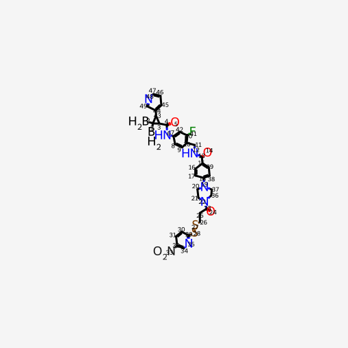 BC1(B)C(C(=O)Nc2ccc(CNC(=O)c3ccc(N4CCN(C(=O)CCSSc5ccc([N+](=O)[O-])cn5)CC4)cc3)c(F)c2)C1c1cccnc1